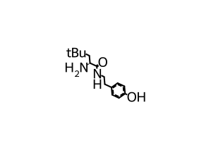 CC(C)(C)C[C@@H](N)C(=O)NCCc1ccc(O)cc1